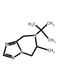 CC1Cn2ncnc2CN1C(C)(C)C